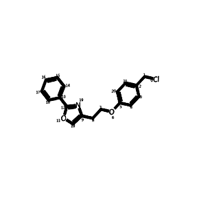 ClCc1ccc(OCCc2coc(-c3ccccc3)n2)cc1